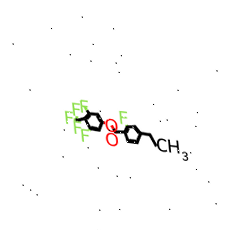 CCCc1ccc(C(=O)Oc2cc(F)c(C(F)(F)F)c(F)c2)c(F)c1